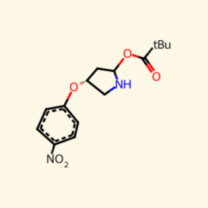 CC(C)(C)C(=O)OC1C[C@@H](Oc2ccc([N+](=O)[O-])cc2)CN1